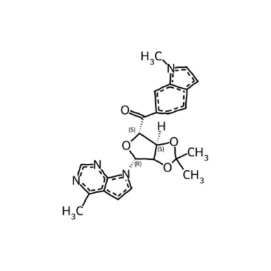 Cc1ncnc2c1ccn2[C@@H]1O[C@H](C(=O)c2ccc3ccn(C)c3c2)[C@H]2OC(C)(C)OC12